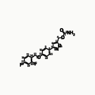 NC(=O)OCc1cc(-c2ccc(OCc3ccc(F)cc3F)cc2)no1